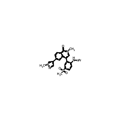 CCCNc1ccc(S(C)(=O)=O)cc1-c1cn(C)c(=O)c2ccc(-c3cnn(C)c3)cc12